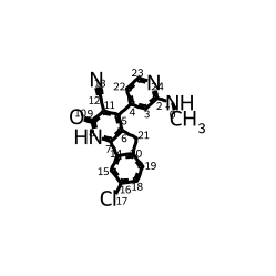 CNc1cc(-c2c3c([nH]c(=O)c2C#N)-c2cc(Cl)ccc2C3)ccn1